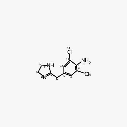 Nc1c(Cl)cc(CC2=NCCN2)cc1Cl